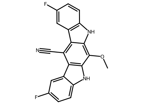 COc1c2[nH]c3ccc(F)cc3c2c(C#N)c2c1[nH]c1ccc(F)cc12